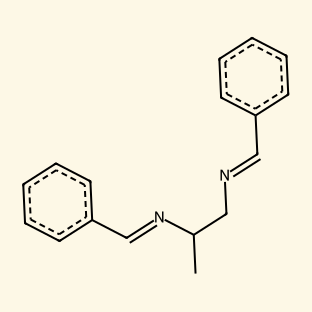 CC(CN=Cc1ccccc1)N=Cc1ccccc1